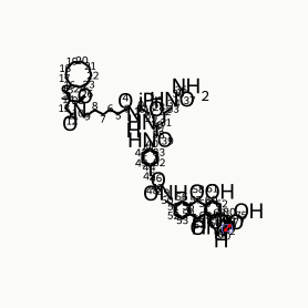 CC(C)[C@H](NC(=O)CCCCCN1C(=O)CC(SC2CCCCCCCC2)C1=O)C(=O)N[C@@H](CCCNC(N)=O)C(=O)Nc1ccc(COC(=O)NCc2ccc3c(c2)C(=O)c2c(O)cc4c(c2C3=O)N[C@H]2C#C/C=C\[C@@H](O)[C@@]43O[C@@]23[C@@H](C)O)cc1